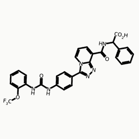 O=C(Nc1ccc(-c2nnc3c(C(=O)NC(C(=O)O)c4ccccc4)cccn23)cc1)Nc1ccccc1OC(F)(F)F